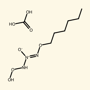 CCCCCCON=[N+]([O-])NOO.O=C(O)O